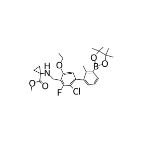 CCOc1cc(-c2cccc(B3OC(C)(C)C(C)(C)O3)c2C)c(Cl)c(F)c1CNC1(C(=O)OC)CC1